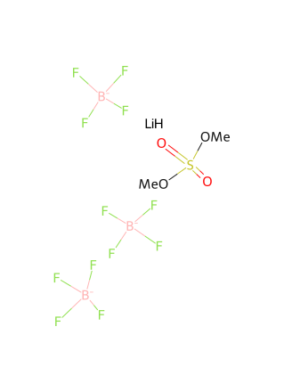 COS(=O)(=O)OC.F[B-](F)(F)F.F[B-](F)(F)F.F[B-](F)(F)F.[LiH]